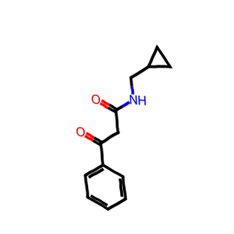 O=C(CC(=O)c1ccccc1)NCC1CC1